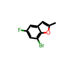 Cc1cc2cc(F)cc(Br)c2o1